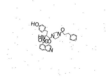 O=C(CCc1ccccc1)N1CCN(C(=O)C(Cc2ccc(O)cc2)NS(=O)(=O)c2cccc3cnccc23)CC1